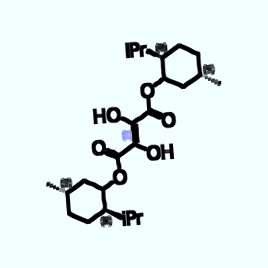 CC(C)[C@H]1CC[C@H](C)CC1OC(=O)/C(O)=C(\O)C(=O)OC1C[C@@H](C)CC[C@@H]1C(C)C